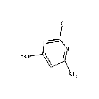 CC(C)(C)c1cc(Cl)nc(C(F)(F)F)c1